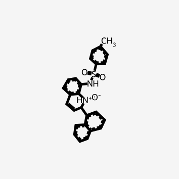 Cc1ccc(S(=O)(=O)Nc2cccc3c2[NH+]([O-])C(c2cccc4ccccc24)C=C3)cc1